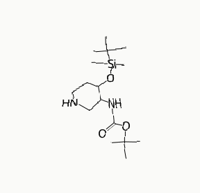 CC(C)(C)OC(=O)NC1CNCCC1O[Si](C)(C)C(C)(C)C